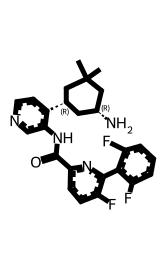 CC1(C)C[C@H](N)C[C@H](c2ccncc2NC(=O)c2ccc(F)c(-c3c(F)cccc3F)n2)C1